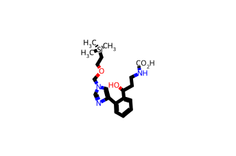 C[Si](C)(C)CCOCn1cnc(-c2ccccc2C(O)CCNC(=O)O)c1